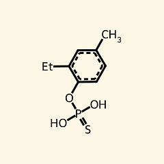 CCc1cc(C)ccc1OP(O)(O)=S